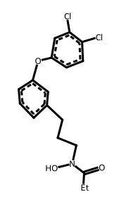 CCC(=O)N(O)CCCc1cccc(Oc2ccc(Cl)c(Cl)c2)c1